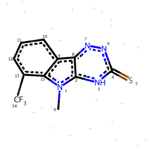 Cn1c2[nH]c(=S)nnc2c2cccc(C(F)(F)F)c21